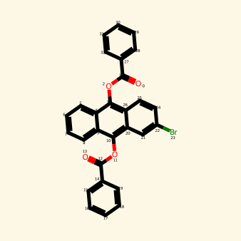 O=C(Oc1c2ccccc2c(OC(=O)c2ccccc2)c2cc(Br)ccc12)c1ccccc1